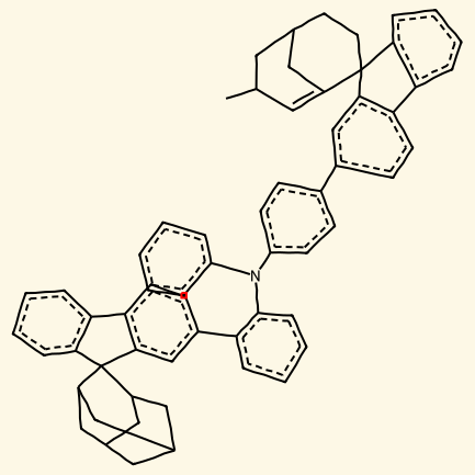 CC1C=C2CC(CCC23c2ccccc2-c2ccc(-c4ccc(N(c5ccccc5)c5ccccc5-c5ccc6c(c5)C5(c7ccccc7-6)C6CC7CC(C6)CC5C7)cc4)cc23)C1